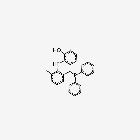 Cc1cccc(Pc2c(C)cccc2CP(c2ccccc2)c2ccccc2)c1O